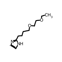 CCOCCOCCCCc1n[c]c[nH]1